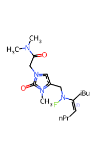 CCC/C=C(/C(C)CC)N(F)Cc1cn(CC(=O)N(C)C)c(=O)n1C